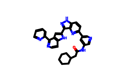 O=C(CC1CCCCC1)Nc1cncc(-c2ccc3[nH]nc(-c4cc5c(-c6ccccn6)nccc5[nH]4)c3n2)c1